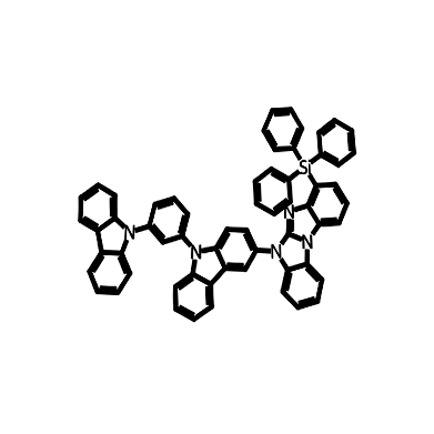 c1ccc([Si](c2ccccc2)(c2ccccc2)c2cccc3c2nc2n(-c4ccc5c(c4)c4ccccc4n5-c4cccc(-n5c6ccccc6c6ccccc65)c4)c4ccccc4n32)cc1